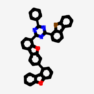 c1ccc(-c2nc(-c3cccc4c3oc3cc(-c5cccc6oc7ccccc7c56)ccc34)nc(-c3cccc4c3sc3ccccc34)n2)cc1